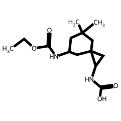 CCOC(=O)NC1CC(C)(C)CC2(C1)CC2NC(=O)O